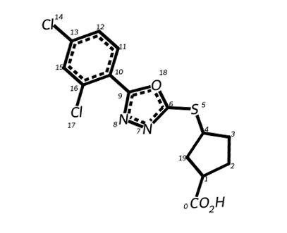 O=C(O)C1CCC(Sc2nnc(-c3ccc(Cl)cc3Cl)o2)C1